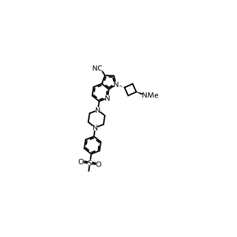 CN[C@H]1C[C@H](n2cc(C#N)c3ccc(N4CCN(c5ccc(S(C)(=O)=O)cc5)CC4)nc32)C1